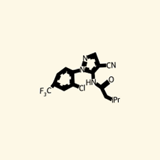 CC(C)CC(=O)Nc1c(C#N)cnn1-c1ccc(C(F)(F)F)cc1Cl